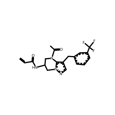 C=CC(=O)NC1CN(C(C)=O)c2c(Cc3cccc(C(F)(F)F)c3)cnn2C1